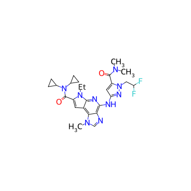 CCn1c(C(=O)N(C2CC2)C2CC2)cc2c3c(ncn3C)c(Nc3cc(C(=O)N(C)C)n(CC(F)F)n3)nc21